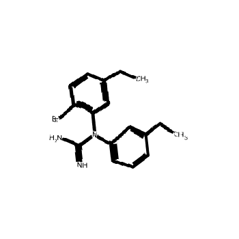 CCc1cccc(N(C(=N)N)c2cc(CC)ccc2Br)c1